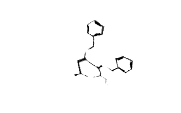 CC1CC(OCc2ccccc2)C(OCc2ccccc2)C(CO)O1